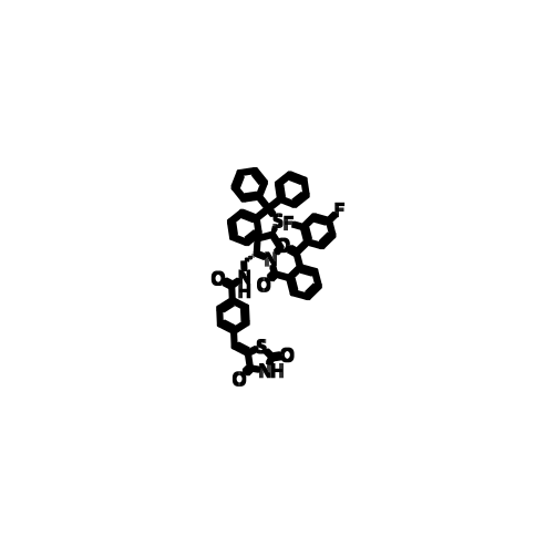 O=C1NC(=O)/C(=C/c2ccc(C(=O)NC[C@@H]3C[C@@H](SC(c4ccccc4)(c4ccccc4)c4ccccc4)CN3C(=O)c3ccccc3C(=O)c3ccc(F)cc3F)cc2)S1